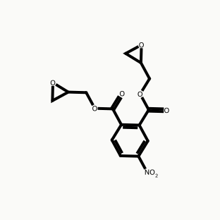 O=C(OCC1CO1)c1ccc([N+](=O)[O-])cc1C(=O)OCC1CO1